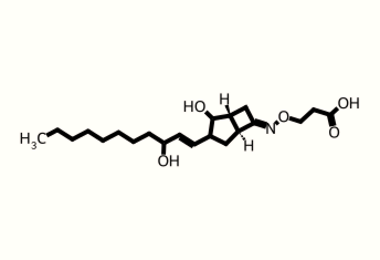 CCCCCCCCC(O)C=CC1C[C@@H]2C(=NOCCC(=O)O)C[C@H]2C1O